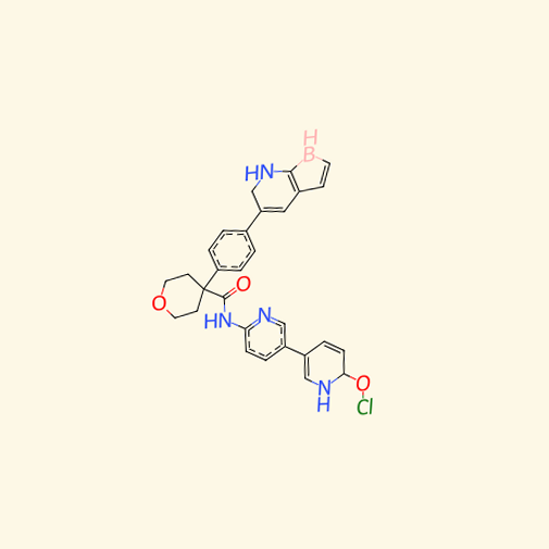 O=C(Nc1ccc(C2=CNC(OCl)C=C2)cn1)C1(c2ccc(C3=CC4=C(BC=C4)NC3)cc2)CCOCC1